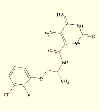 C=C1NC(=O)NC(C(=O)N[C@H](C)COc2cccc(Cl)c2F)=C1N